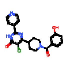 O=C(c1cccc(O)c1)N1CCC(c2nc(-c3ccncc3)[nH]c(=O)c2Cl)CC1